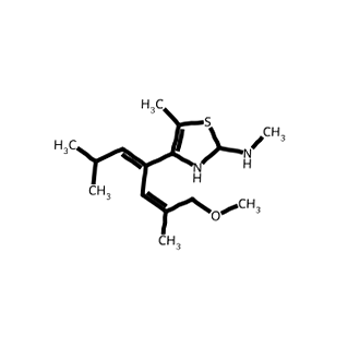 CNC1NC(C(/C=C(/C)COC)=C/C(C)C)=C(C)S1